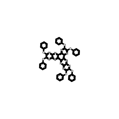 c1ccc(Oc2nc3nc4c5nc(Oc6ccccc6)c(Oc6ccccc6)nc5c5nc6nc(Oc7ccccc7)c(Oc7ccccc7)nc6nc5c4nc3nc2Oc2ccccc2)cc1